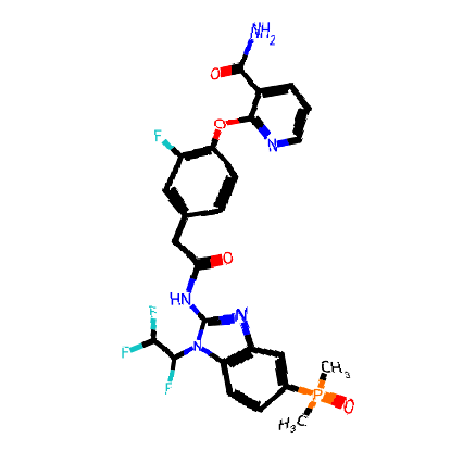 CP(C)(=O)c1ccc2c(c1)nc(NC(=O)Cc1ccc(Oc3ncccc3C(N)=O)c(F)c1)n2C(F)C(F)F